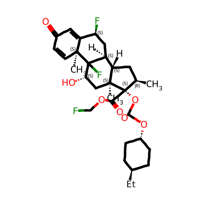 CC[C@H]1CC[C@H](OC(=O)O[C@@]2(C(=O)OCF)[C@H](C)C[C@H]3[C@@H]4C[C@H](F)C5=CC(=O)C=C[C@]5(C)C4(F)[C@@H](O)C[C@@]32C)CC1